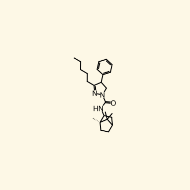 CCCCCC1=NN(C(=O)NC2CC3CC[C@]2(C)C3(C)C)CC1c1ccccc1